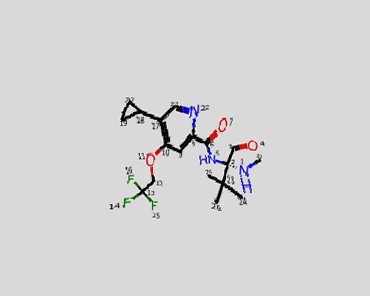 CN[C@@](C=O)(NC(=O)c1cc(OCC(F)(F)F)c(C2CC2)cn1)C(C)(C)C